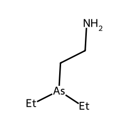 CC[As](CC)CCN